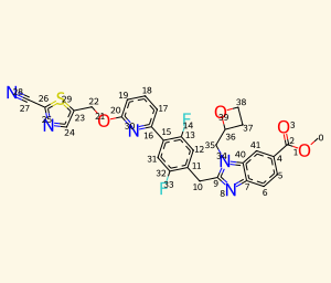 COC(=O)c1ccc2nc(Cc3cc(F)c(-c4cccc(OCc5cnc(C#N)s5)n4)cc3F)n(CC3CCO3)c2c1